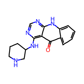 O=c1c2ccccc2[nH]c2ncnc(NC3CCCNC3)c12